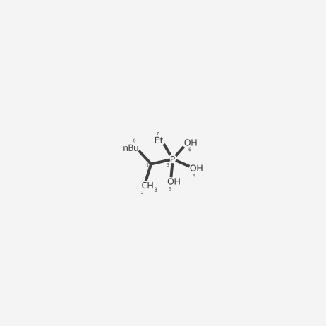 CCCCC(C)P(O)(O)(O)CC